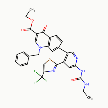 CCNC(=O)Nc1cc(-c2nc(C(F)(F)F)cs2)c(-c2ccc3c(=O)c(C(=O)OCC)cn(Cc4ccccc4)c3c2)cn1